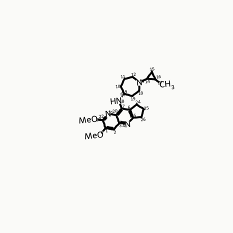 COc1cc2nc3c(c(N[C@@H]4CCCN(C5CC5C)CC4)c2nc1OC)CCC3